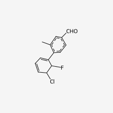 Cc1cc(C=O)ccc1C1=CC=CC(Cl)C1F